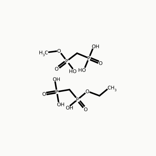 CCOP(=O)(O)CP(=O)(O)O.COP(=O)(O)CP(=O)(O)O